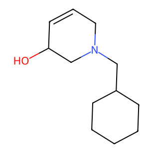 OC1C=CCN(CC2CCCCC2)C1